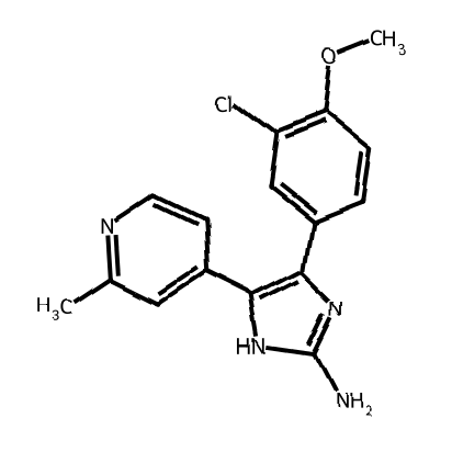 COc1ccc(-c2nc(N)[nH]c2-c2ccnc(C)c2)cc1Cl